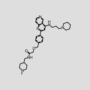 CN1CCC(CNC(=O)COCc2ccc(-c3cc(NCCCN4CCCCC4)c4cnccc4n3)cc2)CC1